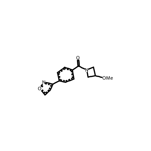 COC1CN(C(=O)c2ccc(-c3ccon3)cc2)C1